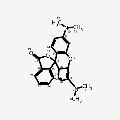 CN(C)C1=CC2Oc3cc(N(C)C)ccc3C3(OC(=O)c4ccccc43)C2C=C1